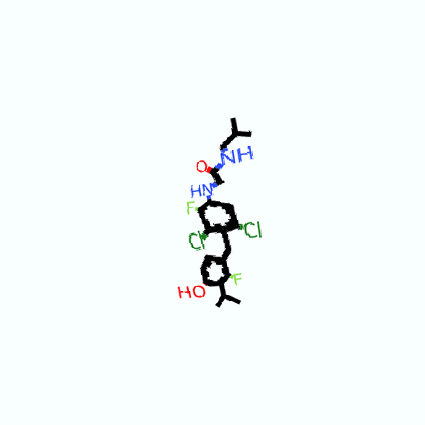 CC(C)CNC(=O)CNc1cc(Cl)c(Cc2ccc(O)c(C(C)C)c2F)c(Cl)c1F